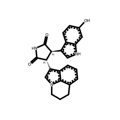 O=C1NC(=O)[C@@H](c2cn3c4c(cccc24)CCC3)[C@@H]1c1c[nH]c2cc(O)ccc12